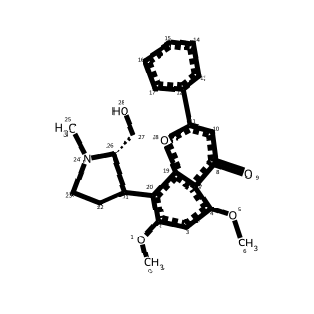 COc1cc(OC)c2c(=O)cc(-c3ccccc3)oc2c1C1CCN(C)[C@@H]1CO